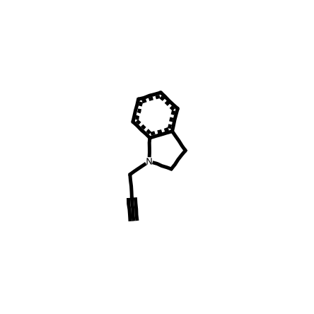 C#CCN1CCc2ccccc21